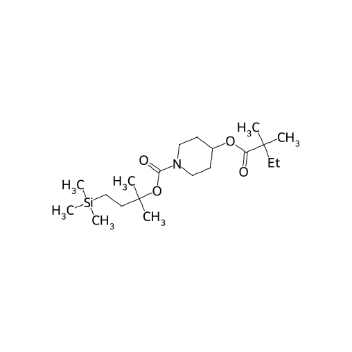 CCC(C)(C)C(=O)OC1CCN(C(=O)OC(C)(C)CC[Si](C)(C)C)CC1